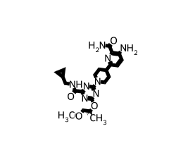 COC[C@@H](C)Oc1nc(C(=O)NCC2CC2)nc(N2CCC(c3ccc(N)c(C(N)=O)n3)CC2)n1